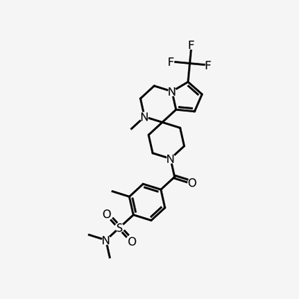 Cc1cc(C(=O)N2CCC3(CC2)c2ccc(C(F)(F)F)n2CCN3C)ccc1S(=O)(=O)N(C)C